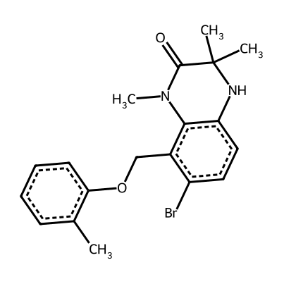 Cc1ccccc1OCc1c(Br)ccc2c1N(C)C(=O)C(C)(C)N2